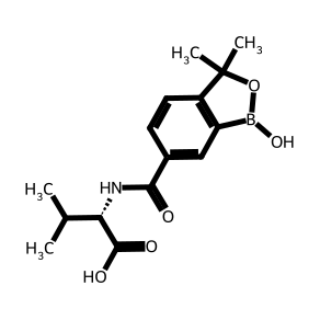 CC(C)[C@H](NC(=O)c1ccc2c(c1)B(O)OC2(C)C)C(=O)O